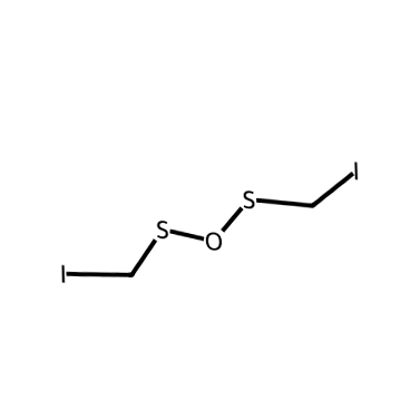 ICSOSCI